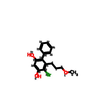 COCCCc1c(Br)c(O)cc(O)c1-c1ccccc1